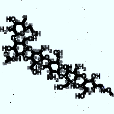 CO/N=C/C(N)C(O)C(OC1OC(CO)C(OC2OC(CO)C(OC3OC(CO)C(OC4OC(CO)C(OC5OC(CO)C(C)C(O)C5N)C(O)C4NC(C)=O)C(O)C3N)C(O)C2N)C(O)C1N)C(O)CO